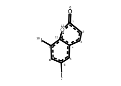 O=c1ccc2cc(I)cc(I)c2o1